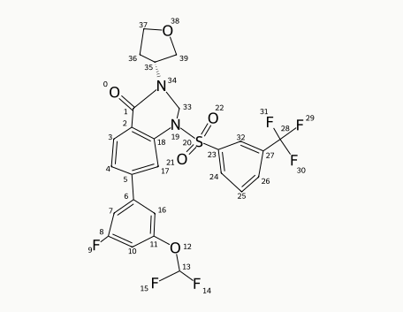 O=C1c2ccc(-c3cc(F)cc(OC(F)F)c3)cc2N(S(=O)(=O)c2cccc(C(F)(F)F)c2)CN1[C@@H]1CCOC1